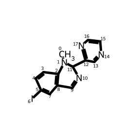 CN1c2ccc(I)cc2C=NC1c1cnccn1